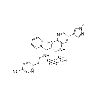 Cn1cc(-c2cnc3c(c2)NC[C@H]([C@H](NCCc2ccc(C#N)cn2)c2ccccc2)N3)cn1.O=CO.O=CO